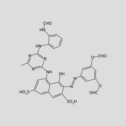 Cc1nc(Nc2ccccc2NC=O)nc(Nc2cc(S(=O)(=O)O)cc3cc(S(=O)(=O)O)c(N=Nc4cc(OC=O)cc(OC=O)c4)c(O)c23)n1